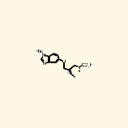 CCCCn1cnc2cc(OC/C(=C/F)CNC(=O)O)ccc21